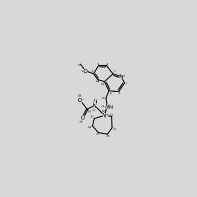 COc1ccc2nccc(CN[N+]3(NC(=O)[O-])CCCCCC3)c2c1